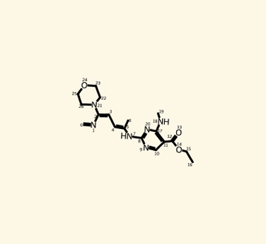 C=N/C(=C\C=C(/C)Nc1ncc(C(=O)OCC)c(NC)n1)N1CCOCC1